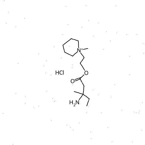 CCC(C)(N)CC(=O)OCC[N+]1(C)CCCCC1.Cl